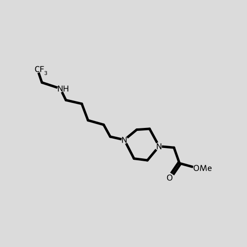 COC(=O)CN1CCN(CCCCCNCC(F)(F)F)CC1